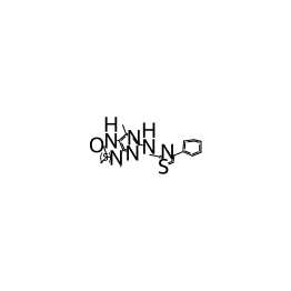 Cc1nc(NCc2nc(-c3ccccc3)cs2)nc2c1NC(=O)[C@H](C)N2C